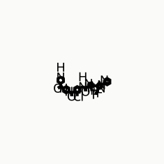 Cn1c(-c2cn(-c3ccccn3)nc2C(F)(F)F)cnc1C(=O)Nc1ccc(C(=O)N2CCN(C(=O)C3CCNCC3)CC2)c(Cl)c1